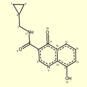 O=C(NCC1CC1)c1cnc2c(O)cccn2c1=O